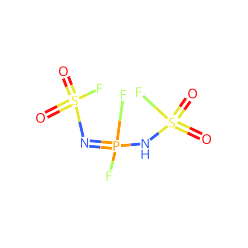 O=S(=O)(F)N=P(F)(F)NS(=O)(=O)F